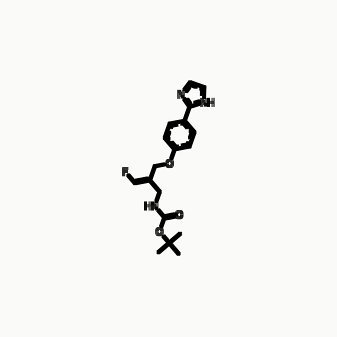 CC(C)(C)OC(=O)NC/C(=C/F)COc1ccc(-c2ncc[nH]2)cc1